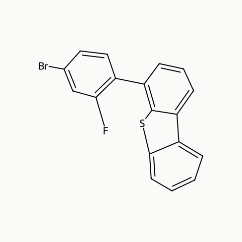 Fc1cc(Br)ccc1-c1cccc2c1sc1ccccc12